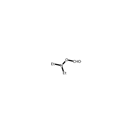 CCN(CC)O[C]=O